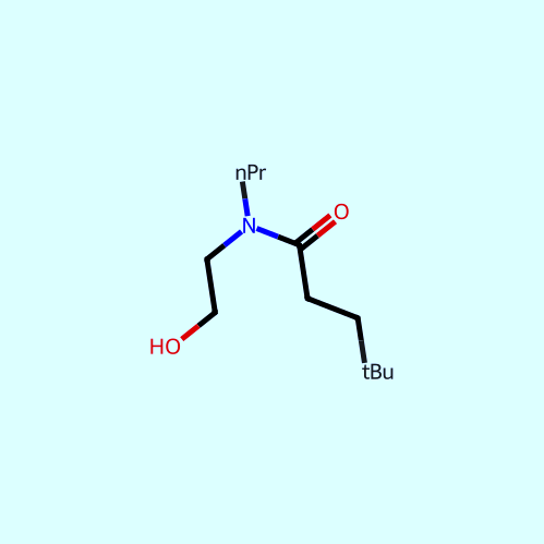 CCCN(CCO)C(=O)CCC(C)(C)C